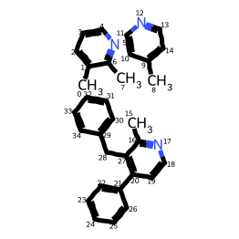 Cc1cccnc1C.Cc1ccncc1.Cc1nccc(-c2ccccc2)c1Cc1ccccc1